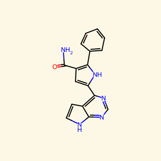 NC(=O)c1cc(-c2ncnc3[nH]ccc23)[nH]c1-c1ccccc1